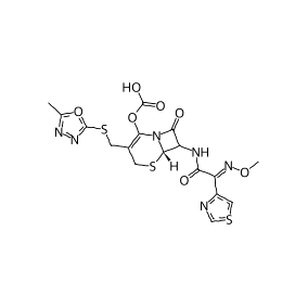 CON=C(C(=O)NC1C(=O)N2C(OC(=O)O)=C(CSc3nnc(C)o3)CS[C@@H]12)c1cscn1